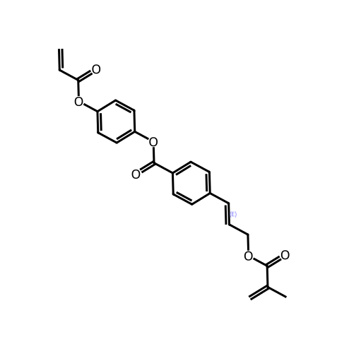 C=CC(=O)Oc1ccc(OC(=O)c2ccc(/C=C/COC(=O)C(=C)C)cc2)cc1